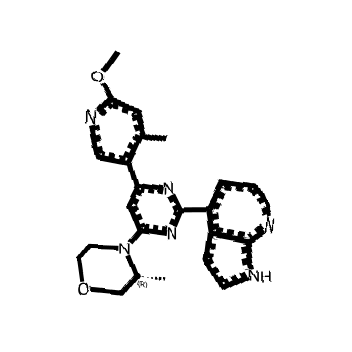 COc1cc(C)c(-c2cc(N3CCOC[C@H]3C)nc(-c3ccnc4[nH]ccc34)n2)cn1